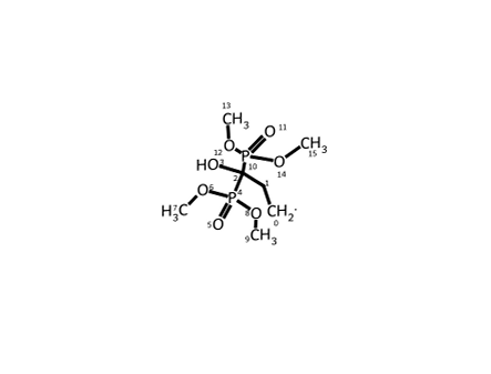 [CH2]CC(O)(P(=O)(OC)OC)P(=O)(OC)OC